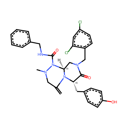 C=C1CN(C)N(C(=O)NCc2ccccc2)[C@H]2CN(Cc3ccc(Cl)cc3Cl)C(=O)[C@H](Cc3ccc(O)cc3)N12